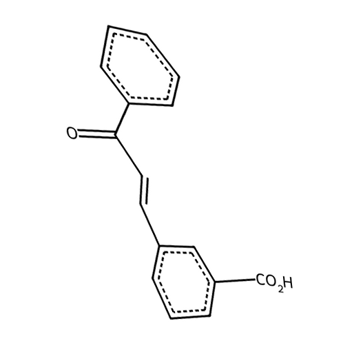 O=C(O)c1cccc(C=CC(=O)c2ccccc2)c1